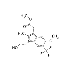 COC(=O)Cc1c(C)n(CCO)c2cc(C(F)(F)F)c(OC)cc12